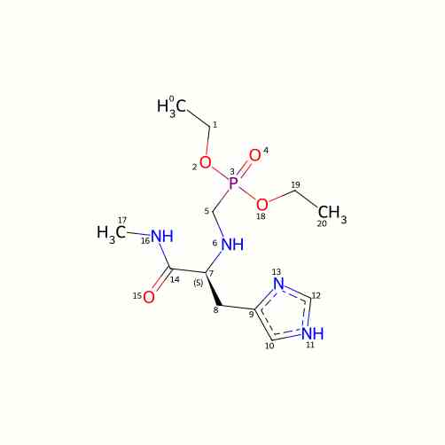 CCOP(=O)(CN[C@@H](Cc1c[nH]cn1)C(=O)NC)OCC